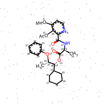 COc1ccnc(C(=O)N[C@@H](C)C(=O)O[C@H](C2CCCCC2)[C@H](C)Oc2ccccc2)c1OC(C)=O